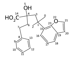 CC(C)(CC(O)(CCc1ccccc1)C(=O)O)c1cccc2ccoc12